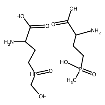 CP(=O)(O)CCC(N)C(=O)O.NC(CC[PH](=O)CO)C(=O)O